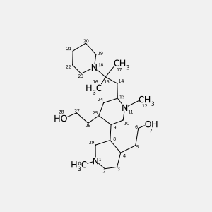 CN1CCC(CCO)C(C2CN(C)C(CC(C)(C)N3CCCCC3)CC2CCO)C1